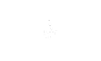 O=Cc1ccc(OC[C@H](O)[C@@H](O)[C@H](O)[C@H](O)CO)cc1